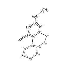 CNc1nc2c(c(=O)[nH]1)-c1ccccc1CC2